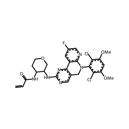 C=CC(=O)NC1CCOCC1Nc1ncc2c(n1)-c1cc(F)cnc1N(c1c(Cl)c(OC)cc(OC)c1Cl)C2